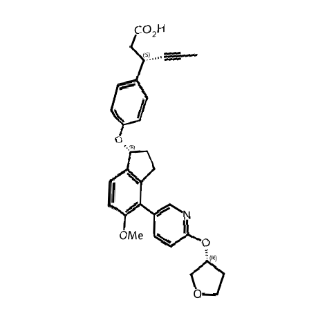 CC#C[C@@H](CC(=O)O)c1ccc(O[C@@H]2CCc3c2ccc(OC)c3-c2ccc(O[C@@H]3CCOC3)nc2)cc1